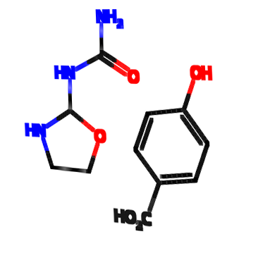 NC(=O)NC1NCCO1.O=C(O)c1ccc(O)cc1